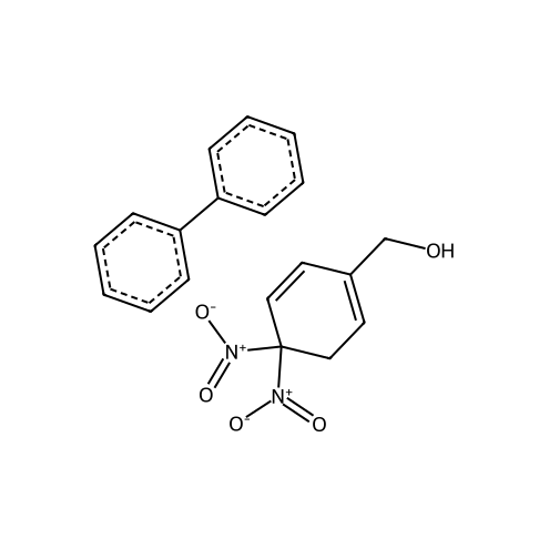 O=[N+]([O-])C1([N+](=O)[O-])C=CC(CO)=CC1.c1ccc(-c2ccccc2)cc1